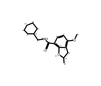 COc1ccc(C(=O)NCC2CCCCC2)c2c1CC(C)O2